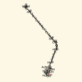 CC(=O)N[C@H]1[C@H](OCCCNC(=O)CCOCCOCCOCCOCCNC(=O)COc2ccc(-c3cccc(C(=O)NCCNC(=O)CCOCCOCCOCCOCCOCCOCCOCCOCCOCCOCCOCCOCCNC(=O)CCCC[C@@H]4SC[C@@H]5NC(=O)N[C@@H]54)c3)cc2)O[C@H](CO)[C@@H](O[C@@H]2O[C@H](CO)[C@H](O)[C@H](O[C@H]3O[C@H](CO)[C@H](O)[C@H](O)[C@H]3O)[C@H]2O)[C@@H]1O